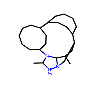 CC1CC2CN3NC(C)N(C4CCCCCC(CC4)C4CCCCC2CC4)C13